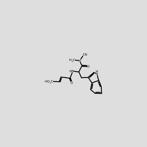 CN(C#N)C(=O)C(Cc1c[nH]c2ccccc12)NC(=O)/C=C/C(=O)O